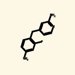 Nc1ccc(Cc2ccnc(N)c2)c(F)c1